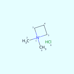 C[N+]1(C)CCC1.Cl